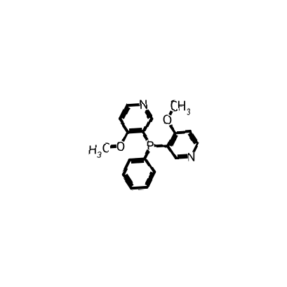 COc1ccncc1P(c1ccccc1)c1cnccc1OC